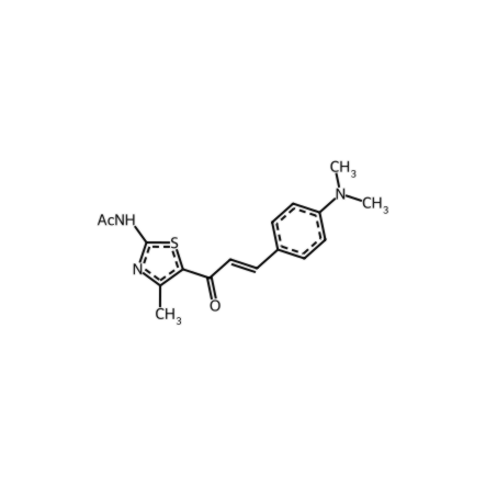 CC(=O)Nc1nc(C)c(C(=O)C=Cc2ccc(N(C)C)cc2)s1